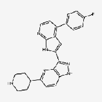 Fc1ccc(-c2ccnc3[nH]c(-c4n[nH]c5ccc(C6CCNCC6)nc45)cc23)cc1